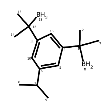 BC(C)(C)c1cc(C(C)C)cc(C(B)(C)C)c1